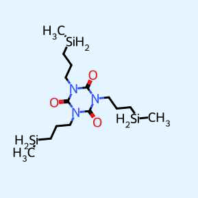 C[SiH2]CCCn1c(=O)n(CCC[SiH2]C)c(=O)n(CCC[SiH2]C)c1=O